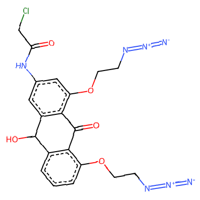 [N-]=[N+]=NCCOc1cccc2c1C(=O)c1c(OCCN=[N+]=[N-])cc(NC(=O)CCl)cc1C2O